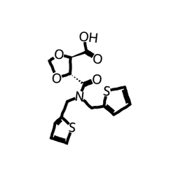 O=C(O)[C@@H]1OCO[C@H]1C(=O)N(Cc1cccs1)Cc1cccs1